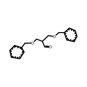 O=CC(COCc1ccccc1)COCc1ccccc1